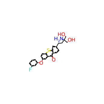 NC(CO)(CO)CCc1ccc2c(=O)c3cc(Oc4cccc(F)c4)ccc3sc2c1